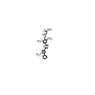 Cc1cc(-c2nnc(-c3cc(-c4ccccc4)n(C)n3)o2)cc(C)c1CCNCC(=O)O